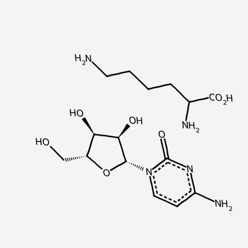 NCCCCC(N)C(=O)O.Nc1ccn([C@@H]2O[C@H](CO)[C@@H](O)[C@H]2O)c(=O)n1